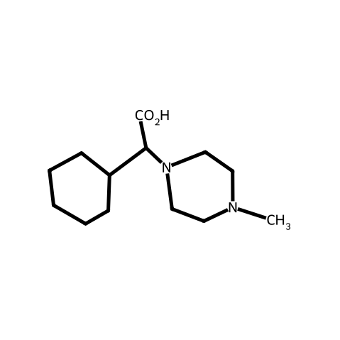 CN1CCN(C(C(=O)O)C2CCCCC2)CC1